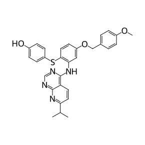 COc1ccc(COc2ccc(Sc3ccc(O)cc3)c(Nc3ncnc4nc(C(C)C)ccc34)c2)cc1